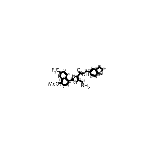 COc1ccc(-c2nc(C(=O)NCc3ccc4c(c3)CCO4)c(CN)o2)c2ccc(C(F)(F)F)nc12